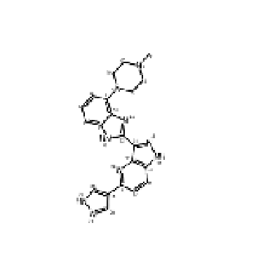 CN1CCN(c2cccc3[nH]c(-c4n[nH]c5ccc(-c6cn[nH]c6)nc45)nc23)CC1